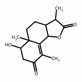 CC1=C2C3OC(=O)C(C)C3CCC2(C)C(O)CC1=O